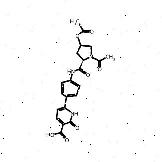 CC(=O)OC1C[C@H](C(=O)Nc2ccc(-c3ccc(C(=O)O)c(=O)[nH]3)cc2)N(C(C)=O)C1